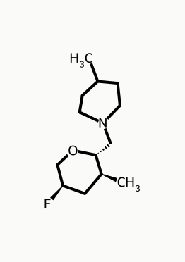 CC1CCN(C[C@H]2OC[C@H](F)C[C@@H]2C)CC1